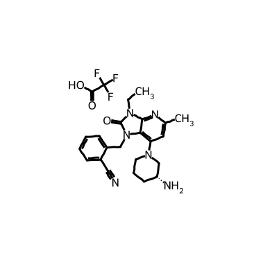 CCn1c(=O)n(Cc2ccccc2C#N)c2c(N3CCC[C@@H](N)C3)cc(C)nc21.O=C(O)C(F)(F)F